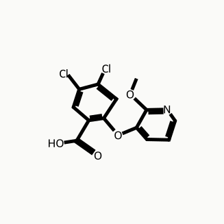 COc1ncccc1Oc1cc(Cl)c(Cl)cc1C(=O)O